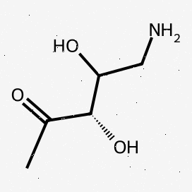 CC(=O)[C@@H](O)C(O)CN